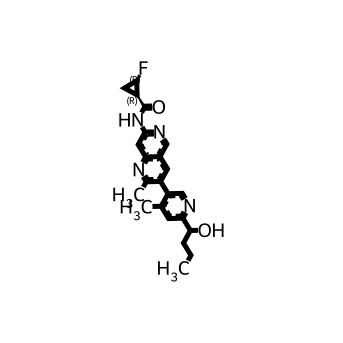 CCCC(O)c1cc(C)c(-c2cc3cnc(NC(=O)[C@H]4C[C@H]4F)cc3nc2C)cn1